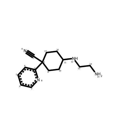 N#CC1(c2ccccn2)CCC(NCCN)CC1